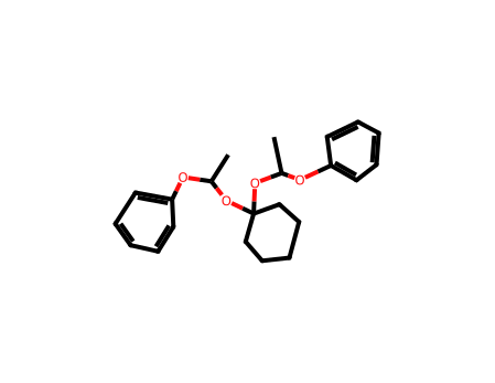 CC(Oc1ccccc1)OC1(OC(C)Oc2ccccc2)CCCCC1